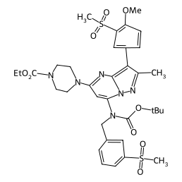 CCOC(=O)N1CCN(c2cc(N(Cc3cccc(S(C)(=O)=O)c3)C(=O)OC(C)(C)C)n3nc(C)c(-c4ccc(OC)c(S(C)(=O)=O)c4)c3n2)CC1